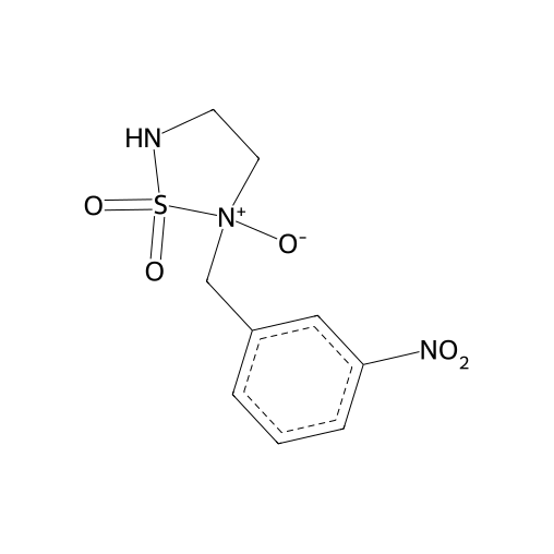 O=[N+]([O-])c1cccc(C[N+]2([O-])CCNS2(=O)=O)c1